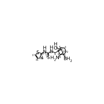 BC12CCC(CC1)C(O)(CNC(=S)Nc1nccs1)C2N